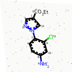 CCOC(=O)c1cnn(-c2ccc(N)cc2Cl)c1